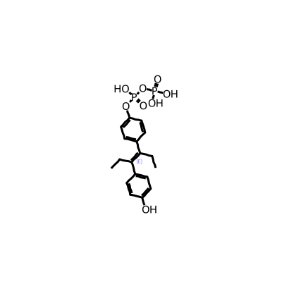 CC/C(=C(/CC)c1ccc(OP(=O)(O)OP(=O)(O)O)cc1)c1ccc(O)cc1